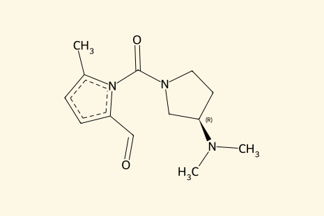 Cc1ccc(C=O)n1C(=O)N1CC[C@@H](N(C)C)C1